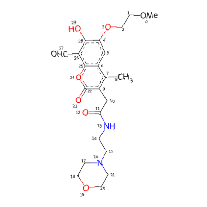 COCCOc1cc2c(C)c(CC(=O)NCCN3CCOCC3)c(=O)oc2c(C=O)c1O